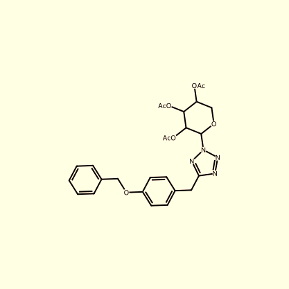 CC(=O)OC1COC(n2nnc(Cc3ccc(OCc4ccccc4)cc3)n2)C(OC(C)=O)C1OC(C)=O